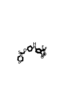 CN1CCN(C(=S)CO[C@H]2CC[C@H](Nc3ccc([N+](=O)[O-])c(C(F)(F)F)c3)CC2)CC1